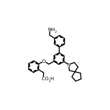 NCc1cccc(-c2cc(COc3ccccc3CC(=O)O)cc(N3CCC4(CCCC4)C3)c2)c1